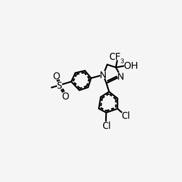 CS(=O)(=O)c1ccc(N2CC(O)(C(F)(F)F)N=C2c2ccc(Cl)c(Cl)c2)cc1